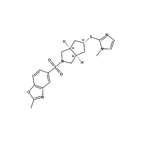 Cc1nc2cc(S(=O)(=O)N3C[C@H]4C[C@H](Sc5nccn5C)C[C@H]4C3)ccc2o1